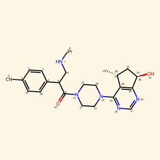 [C-]#[N+]c1ccc(C(CNC(C)C)C(=O)N2CCN(c3ncnc4c3[C@H](C)C[C@H]4O)CC2)cc1